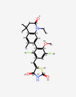 CCN1C(=O)CC(C)(C)c2cc(C)c(-c3c(F)c(C=C4SC(=O)NC4=O)cc(F)c3OC)cc21